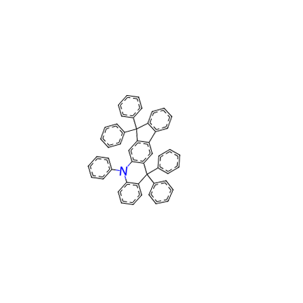 c1ccc(N2c3ccccc3C(c3ccccc3)(c3ccccc3)c3cc4c(cc32)C(c2ccccc2)(c2ccccc2)c2ccccc2-4)cc1